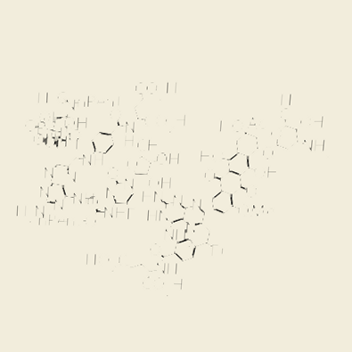 CCC(Cc1cnc2nc(=N)[nH]c(N)c2n1)c1ccc(C(=O)N[C@@H](CCC(=O)O)C(=O)O)cc1.CCCCCN(C)CCC(O)(P(=O)(O)O)P(=O)(O)O.CCCCCOC(=O)Nc1nc(=O)n([C@@H]2O[C@H](C)[C@@H](O)[C@H]2O)cc1F.COc1cccc2c1C(=O)c1c(O)c3c(c(O)c1C2=O)C[C@@](O)(C(C)=O)C[C@@H]3O[C@H]1C[C@H](N)[C@H](O)[C@H](C)O1.Nc1nc(N)c2nc(CNc3ccc(C(=O)NC(CCC(=O)O)C(=O)O)cc3)cnc2n1